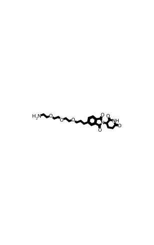 NCCOCCOCCOCCCc1ccc2c(c1)C(=O)N(C1CCC(=O)NC1=O)C2=O